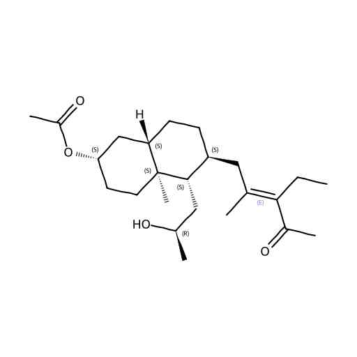 CC/C(C(C)=O)=C(/C)C[C@@H]1CC[C@H]2C[C@@H](OC(C)=O)CC[C@]2(C)[C@H]1C[C@@H](C)O